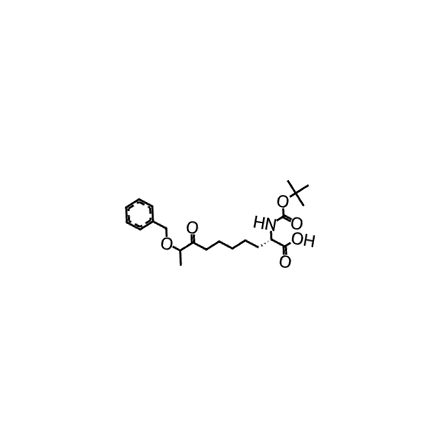 CC(OCc1ccccc1)C(=O)CCCCC[C@H](NC(=O)OC(C)(C)C)C(=O)O